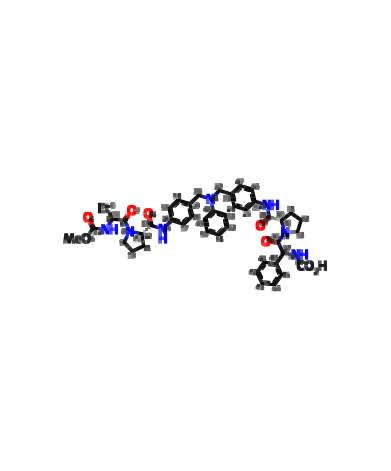 CC[C@H](NC(=O)OC)C(=O)N1CCC[C@H]1C(=O)Nc1ccc(CN(Cc2ccc(NC(=O)[C@@H]3CCCN3C(=O)[C@H](NC(=O)O)c3ccccc3)cc2)c2ccccc2)cc1